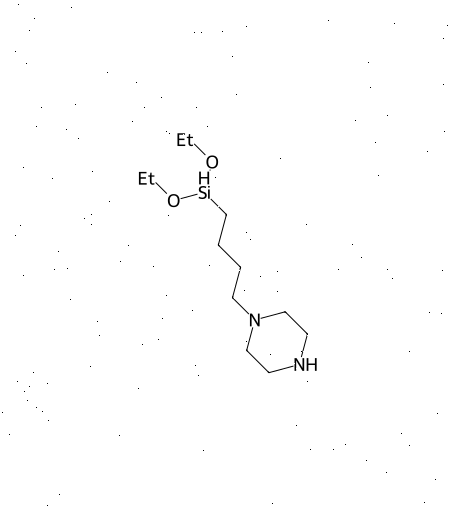 CCO[SiH](CCCCN1CCNCC1)OCC